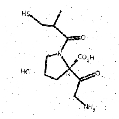 CC(CS)C(=O)N1CCC[C@@]1(C(=O)O)C(=O)CN.Cl